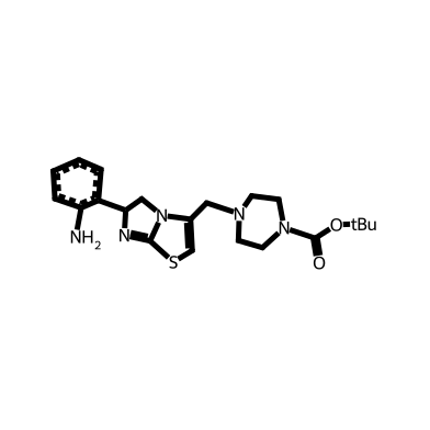 CC(C)(C)OC(=O)N1CCN(CC2=CSC3=NC(c4ccccc4N)CN23)CC1